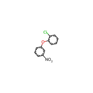 O=[N+]([O-])c1cccc(Oc2ccccc2Cl)c1